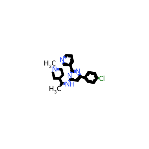 CC(Nc1cc(-c2ccc(Cl)cc2)nc(-c2cccnc2)n1)C1CCN(C)CC1